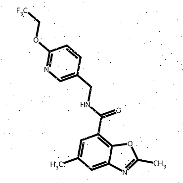 Cc1cc(C(=O)NCc2ccc(OCC(F)(F)F)nc2)c2oc(C)nc2c1